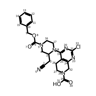 N#CCC1CN(C(=O)OCc2ccccc2)CCN1c1nc(Cl)nc2c1CCN(C(=O)O)C2